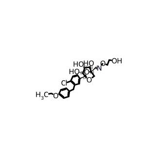 CCOc1ccc(Cc2cc([C@]34OC[C@](/C=N/OCCO)(O3)[C@@H](O)[C@H](O)[C@H]4O)ccc2Cl)cc1